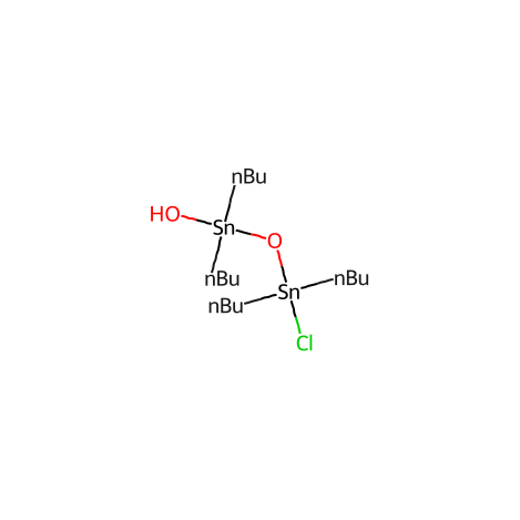 CCC[CH2][Sn]([OH])([CH2]CCC)[O][Sn]([Cl])([CH2]CCC)[CH2]CCC